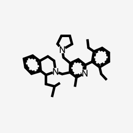 CCc1cccc(CC)c1-c1cc(CN2CCCC2)c(CN2CCc3ccccc3C2CC(C)C)c(C)n1